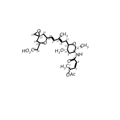 CC(=O)O[C@@H](C)/C=C\C(=O)N[C@@H]1C[C@H](C)C(C/C=C(C)/C=C/C2C[C@]3(CO3)CC(CC(=O)O)O2)O[C@@H]1C